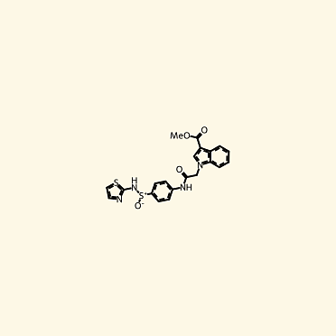 COC(=O)c1cn(CC(=O)Nc2ccc([S+]([O-])Nc3nccs3)cc2)c2ccccc12